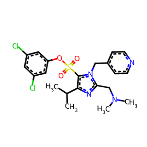 CC(C)c1nc(CN(C)C)n(Cc2ccncc2)c1S(=O)(=O)Oc1cc(Cl)cc(Cl)c1